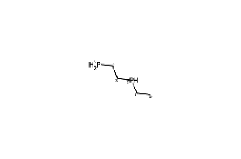 CCPCCP